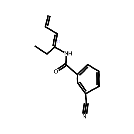 C=C/C=C(\CC)NC(=O)c1cccc(C#N)c1